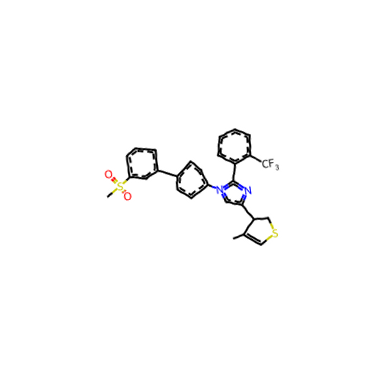 CC1=CSCC1c1cn(-c2ccc(-c3cccc(S(C)(=O)=O)c3)cc2)c(-c2ccccc2C(F)(F)F)n1